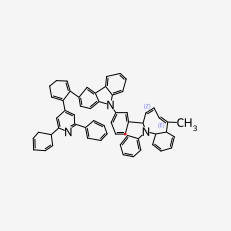 C/C1=C\C=C/C(c2cccc(-n3c4ccccc4c4cc(C5=CCCC=C5c5cc(-c6ccccc6)nc(C6C=CC=CC6)c5)ccc43)c2)N(c2ccccc2)C2C=CC=CC12